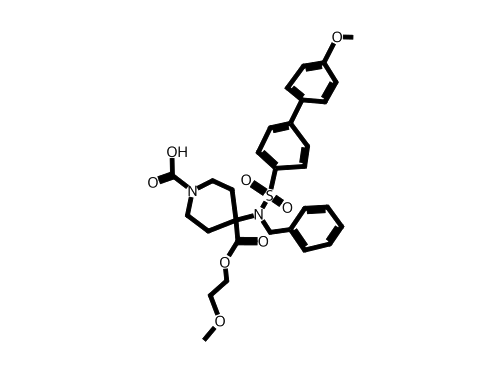 COCCOC(=O)C1(N(Cc2ccccc2)S(=O)(=O)c2ccc(-c3ccc(OC)cc3)cc2)CCN(C(=O)O)CC1